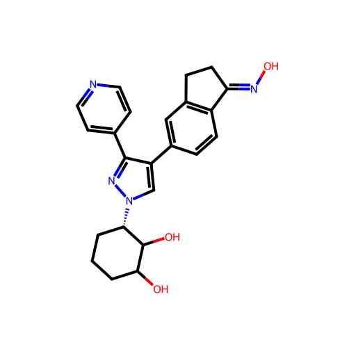 O/N=C1\CCc2cc(-c3cn([C@H]4CCCC(O)C4O)nc3-c3ccncc3)ccc21